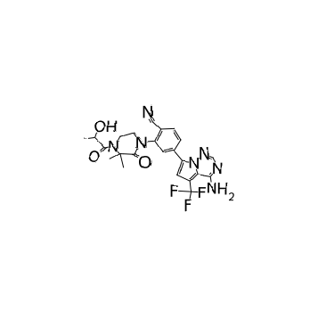 CC(O)C(=O)N1CCN(c2cc(-c3cc(C(F)(F)F)c4c(N)ncnn34)ccc2C#N)C(=O)C1(C)C